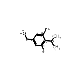 CC(C)c1c(F)cc(CO)cc1F